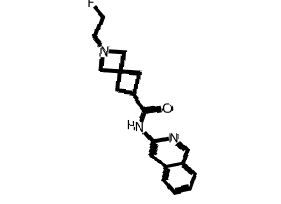 O=C(Nc1cc2ccccc2cn1)C1CC2(C1)CN(CCF)C2